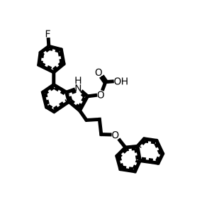 O=C(O)Oc1[nH]c2c(-c3ccc(F)cc3)cccc2c1CCCOc1cccc2ccccc12